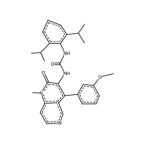 COc1cccc(-c2c(NC(=O)Nc3c(C(C)C)cccc3C(C)C)c(=O)n(C)c3ccncc23)c1